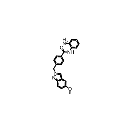 COc1ccc2nn(Cc3ccc(C(=O)Nc4ccccc4N)cc3)cc2c1